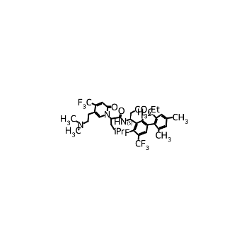 CCOC(=O)C[C@H](NC(=O)C(CC(C)C)n1cc(CCN(C)C)c(C(F)(F)F)cc1=O)c1c(F)c(-c2c(C)cc(C)cc2C)cc(C(F)(F)F)c1F